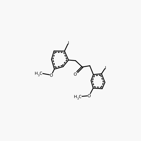 COc1ccc(I)c(CC(=O)Cc2cc(OC)ccc2I)c1